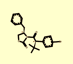 CC(C)(C)[C@@H](C(=O)N1C(=O)OC[C@H]1Cc1ccccc1)c1ccc(Br)cc1